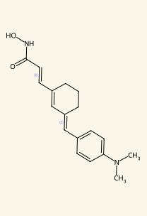 CN(C)c1ccc(/C=C2C=C(/C=C/C(=O)NO)CCC/2)cc1